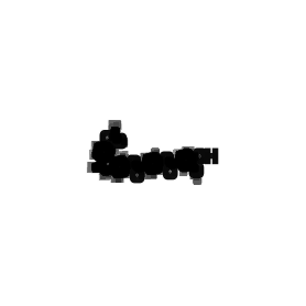 COc1cc(C(=O)Oc2ccc(C(=O)Oc3ccc(CC(C)c4ccc(OC(C)=O)cc4)cc3)cc2)ccc1O